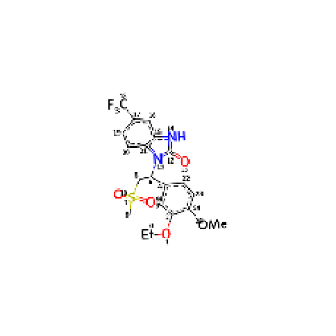 CCOc1cc(C(CS(C)(=O)=O)n2c(=O)[nH]c3cc(C(F)(F)F)ccc32)ccc1OC